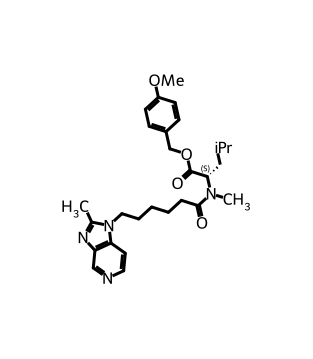 COc1ccc(COC(=O)[C@H](CC(C)C)N(C)C(=O)CCCCCn2c(C)nc3cnccc32)cc1